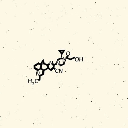 C=Cc1cc(-c2cc(C#N)c(N3CCN(C(=O)CCO)[C@H](C4CC4)C3)nc2C2CC2)c2ccccc2n1